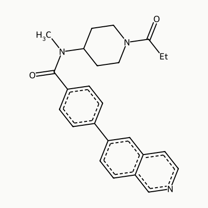 CCC(=O)N1CCC(N(C)C(=O)c2ccc(-c3ccc4cnccc4c3)cc2)CC1